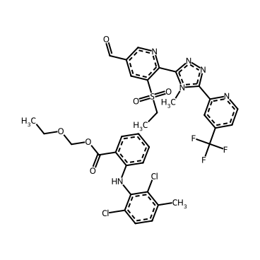 CCOCOC(=O)c1ccccc1Nc1c(Cl)ccc(C)c1Cl.CCS(=O)(=O)c1cc(C=O)cnc1-c1nnc(-c2cc(C(F)(F)F)ccn2)n1C